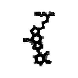 CC[C@@H](CCC[C@@H]1CCc2c1cc1nc(-c3cccc(Br)c3Cl)oc1c2C#N)C(=O)O